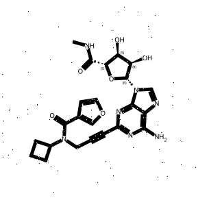 CNC(=O)[C@H]1O[C@@H](n2cnc3c(N)nc(C#CCN(C(=O)c4ccoc4)C4CCC4)nc32)[C@H](O)[C@@H]1O